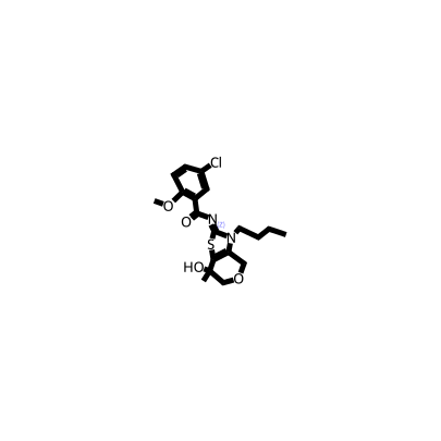 CCCCn1c2c(s/c1=N\C(=O)c1cc(Cl)ccc1OC)C(C)(O)COC2